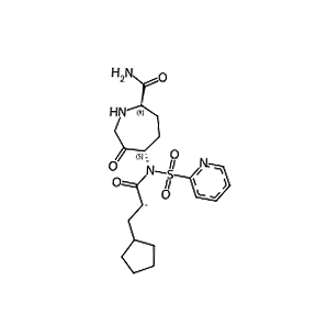 NC(=O)[C@H]1CC[C@H](N(C(=O)[CH]CC2CCCC2)S(=O)(=O)c2ccccn2)C(=O)CN1